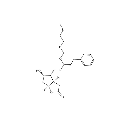 COCCOCO[C@H](C=C[C@@H]1[C@H]2CC(=O)O[C@H]2C[C@H]1O)CCc1ccccc1